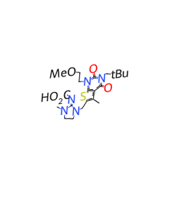 COCCn1c(=O)n(CC(C)(C)C)c(=O)c2c(C)c(CN3CCN(C)C3=NC(=O)O)sc21